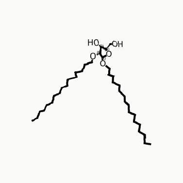 CCCCCCCCCCCCCCCCCO[C@@H]1O[C@H](CO)[C@@H](O)[C@H]1OCCCCCCCCCCCCCCCC